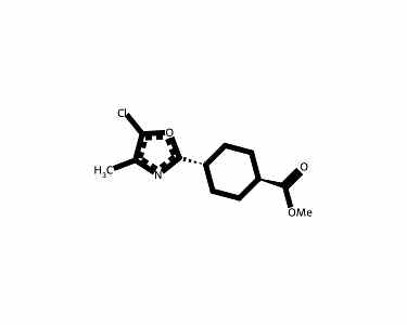 COC(=O)[C@H]1CC[C@H](c2nc(C)c(Cl)o2)CC1